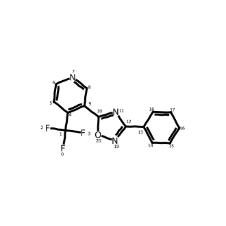 FC(F)(F)c1ccncc1-c1nc(-c2ccccc2)no1